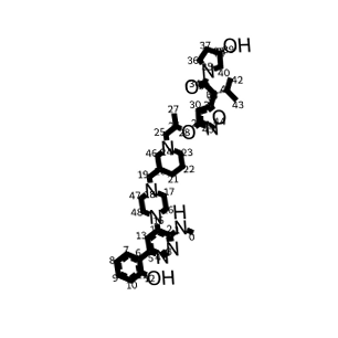 CNc1nnc(-c2ccccc2O)cc1N1CCN(CC2CCCN(CC(C)Oc3cc([C@H](C(=O)N4CC[C@@H](O)C4)C(C)C)on3)C2)CC1